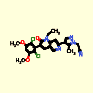 CCn1c(=O)c(-c2c(Cl)c(OC)cc(OC)c2Cl)cc2cnc(-c3cnn(CC#N)c3C)cc21